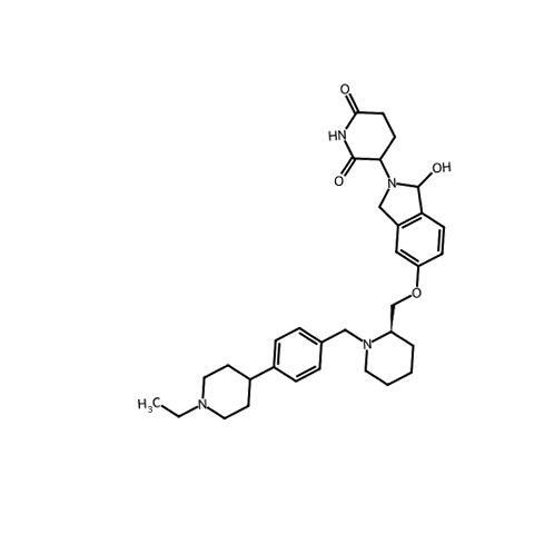 CCN1CCC(c2ccc(CN3CCCC[C@@H]3COc3ccc4c(c3)CN(C3CCC(=O)NC3=O)C4O)cc2)CC1